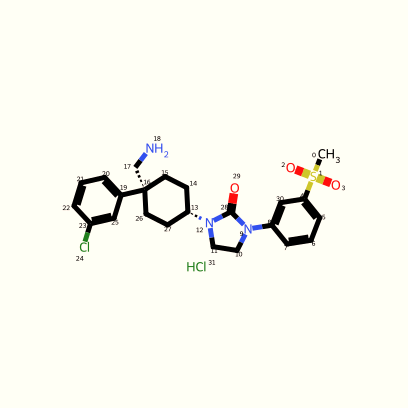 CS(=O)(=O)c1cccc(N2CCN([C@H]3CC[C@](CN)(c4cccc(Cl)c4)CC3)C2=O)c1.Cl